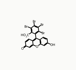 O=C(O)c1c(Br)c(Br)c(Br)c(Br)c1-c1c2ccc(=O)cc-2oc2cc(O)ccc12